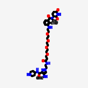 CN(C(=O)c1cccc(NCCOCCOCCOCCOCCC(=O)NCCn2cc(NC=O)c(C(=O)NC3CCNCC3)n2)c1C=O)C1CCC(=O)NC1=O